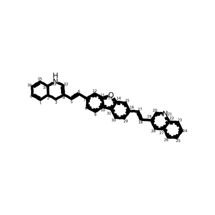 C1=CC2CC(/C=C/c3ccc4c(c3)oc3cc(/C=C/c5cnc6ccccc6c5)ccc34)=CNC2C=C1